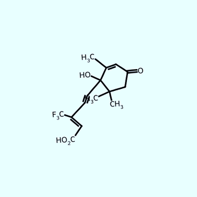 CC1=CC(=O)CC(C)(C)C1(O)C#CC(=CC(=O)O)C(F)(F)F